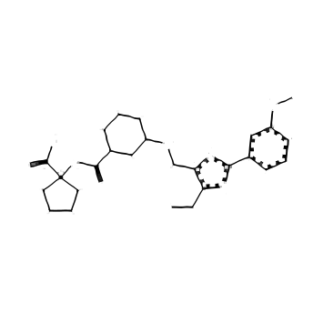 CCc1oc(-c2cccc(OC)c2)nc1COC1CCCC(C(=O)NC2(C(=O)O)CCCC2)C1